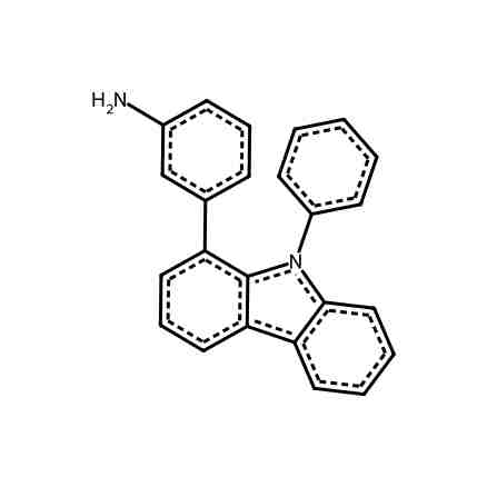 Nc1cccc(-c2cccc3c4ccccc4n(-c4ccccc4)c23)c1